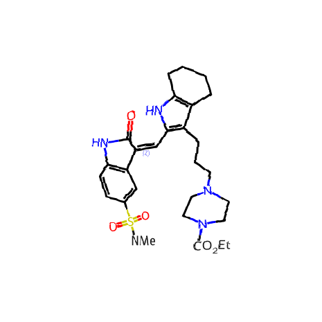 CCOC(=O)N1CCN(CCCc2c(/C=C3\C(=O)Nc4ccc(S(=O)(=O)NC)cc43)[nH]c3c2CCCC3)CC1